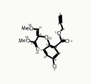 C#CCOC(=O)c1cc(Cl)ccc1OC(=COC)C(=O)OC